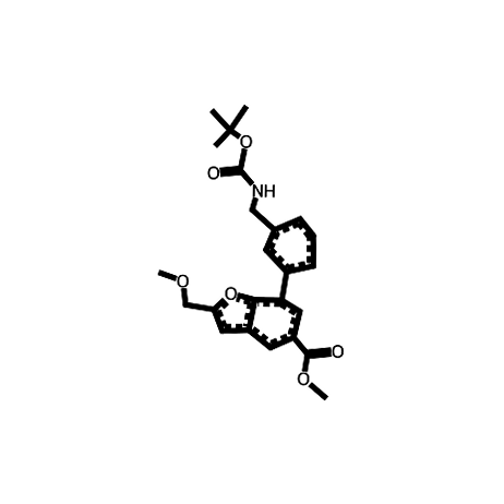 COCc1cc2cc(C(=O)OC)cc(-c3cccc(CNC(=O)OC(C)(C)C)c3)c2o1